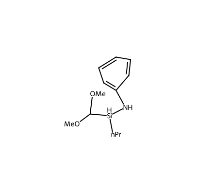 CCC[SiH](Nc1ccccc1)C(OC)OC